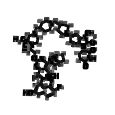 C#Cc1c(F)ccc2cc(O)cc(-c3ncc4c(N5CC6CCC(C5)N6)nc(OCCN5CCN(CC6CCN(CC7CCN(c8ccc9c(c8)n(C)c(=O)n9C8CCC(=O)NC8=O)CC7)CC6)CC5(C)C)nc4c3F)c12